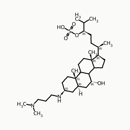 CC(C)[C@@H](CC[C@@H](C)[C@H]1CCC2C3C(CC[C@@]21C)[C@@]1(C)CC[C@H](NCCCN(C)C)C[C@@H]1C[C@H]3O)OS(=O)(=O)O